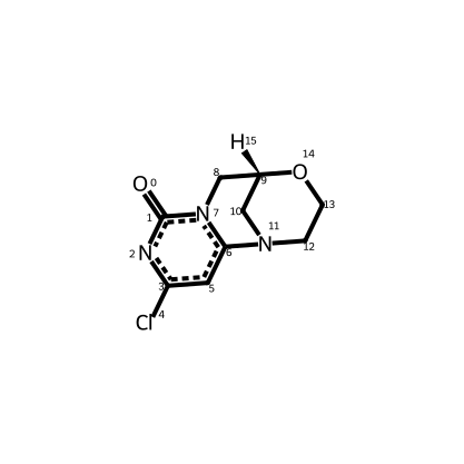 O=c1nc(Cl)cc2n1C[C@H]1CN2CCO1